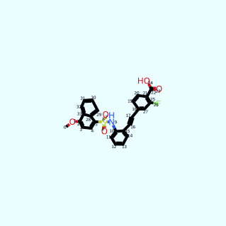 COc1ccc(S(=O)(=O)Nc2ccccc2C#Cc2ccc(C(=O)O)c(F)c2)c2ccccc12